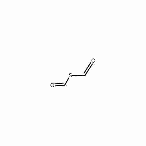 O=[C]S[C]=O